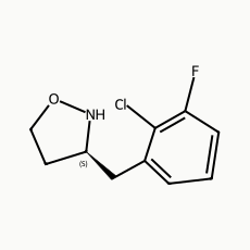 Fc1cccc(C[C@H]2CCON2)c1Cl